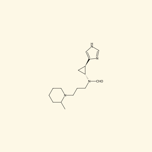 CC1CCCCN1CCCN(C=O)[C@@H]1C[C@H]1c1c[nH]cn1